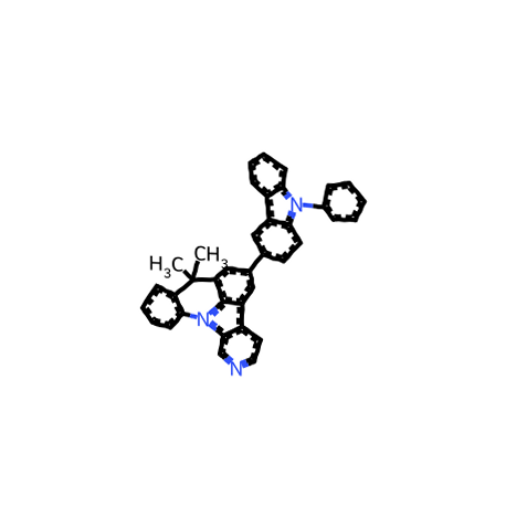 CC1(C)c2ccccc2-n2c3cnccc3c3cc(-c4ccc5c(c4)c4ccccc4n5-c4ccccc4)cc1c32